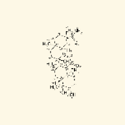 CC1(C)[C@@H](O)CC[C@]2(C)C3C(=O)C=C4[C@@H]5C[C@@](C)(C(N)=O)CC[C@]5(C)CC[C@@]4(C)[C@]3(C)CC[C@@H]12